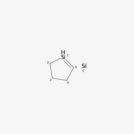 C1=[SiH]CCC1.[Si]